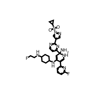 NC1(c2ccnc(-c3cnn(S(=O)(=O)C4CC4)c3)n2)C=C(NC2CCC(NCCF)CC2)C(c2cccc(F)n2)=CN1